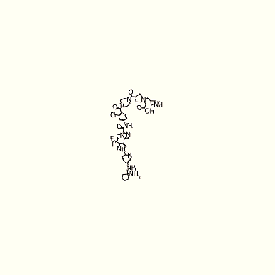 Cn1c(-c2cn(-c3ccc(NCC4(N)CCCC4)cn3)nc2C(F)(F)F)cnc1C(=O)Nc1ccc(C(=O)N2CCN(C(=O)C3CC[N+](CC(=O)O)(CC4CNC4)CC3)CC2)c(Cl)c1